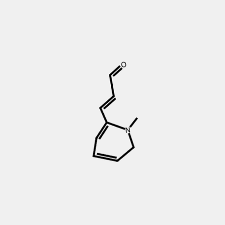 CN1CC=CC=C1C=CC=O